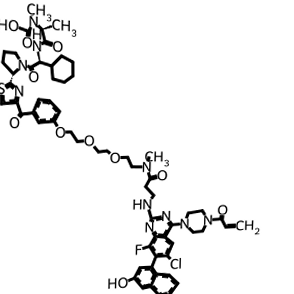 C=CC(=O)N1CCN(c2nc(NCCC(=O)N(C)CCOCCOCCOc3cccc(C(=O)c4csc([C@@H]5CCCN5C(=O)[C@@H](NC(=O)[C@H](C)N(C)C(=O)O)C5CCCCC5)n4)c3)nc3c(F)c(-c4cc(O)cc5ccccc45)c(Cl)cc23)CC1